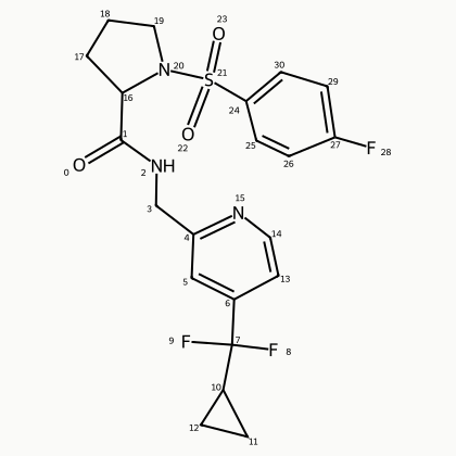 O=C(NCc1cc(C(F)(F)C2CC2)ccn1)C1CCCN1S(=O)(=O)c1ccc(F)cc1